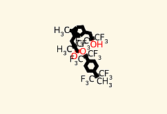 CC1C2CC(CC(O)(C(F)(F)F)C(F)(F)F)C(C2)C1CC(C)(C(=O)OC(C1CCC(C(C)(C(F)(F)F)C(F)(F)F)CC1)(C(F)(F)F)C(F)(F)F)C(F)(F)F